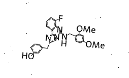 COc1ccc(CNc2nc3c(F)cccc3c3nc(Cc4cccc(O)c4)cn23)c(OC)c1